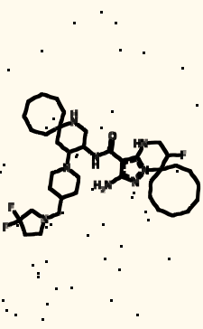 Nc1nn2c(c1C(=O)NC1CNC3(CCCCCCC3)CC1N1CCC(CN3CCC(F)(F)C3)CC1)NCC(F)C21CCCCCCCCC1